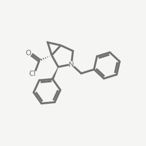 O=C(Cl)[C@]12CC1CN(Cc1ccccc1)[C@H]2c1ccccc1